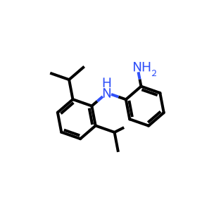 CC(C)c1cccc(C(C)C)c1Nc1ccccc1N